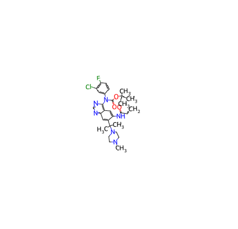 C=CC(=O)Nc1cc2c(N(C(=O)OC(C)(C)C)c3ccc(F)c(Cl)c3)ncnc2cc1C(C)(C)N1CCN(C)CC1